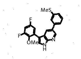 COc1c(F)cc(F)cc1-c1c[nH]c2ncc(-c3cccc(SC)c3)cc12